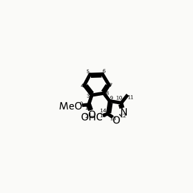 COC(=O)c1ccccc1-c1c(C)noc1C=O